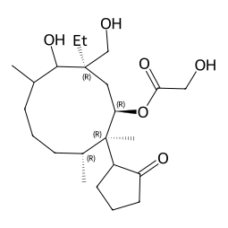 CC[C@]1(CO)C[C@@H](OC(=O)CO)[C@@](C)(C2CCCC2=O)[C@H](C)CCCC(C)C1O